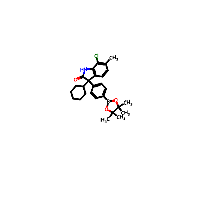 Cc1ccc2c(c1Cl)NC(=O)C2(c1ccc(B2OC(C)(C)C(C)(C)O2)cc1)C1CCCCC1